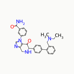 CCN(C)Cc1ccccc1-c1ccc(C2NCc3ncn(-c4cccc(C(N)=O)c4)c3C2=O)cc1